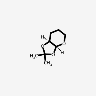 CC1(C)O[C@@H]2OCCC[C@@H]2O1